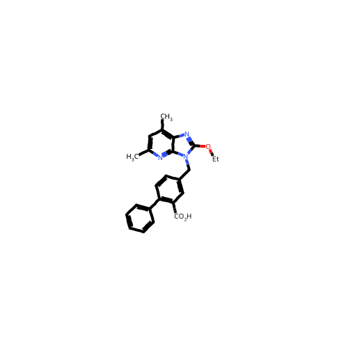 CCOc1nc2c(C)cc(C)nc2n1Cc1ccc(-c2ccccc2)c(C(=O)O)c1